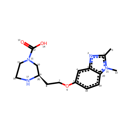 Cc1nc2cc(OCC[C@@H]3CN(C(=O)O)CCN3)ccc2n1C